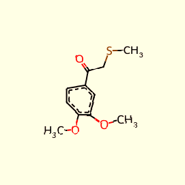 COc1ccc(C(=O)CSC)cc1OC